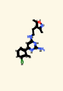 Cc1noc(C)c1CCNc1cc(-c2cccc(Cl)c2C)nc(N)n1